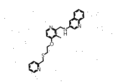 Cc1c(OCCSCc2ccccn2)ccnc1CNc1cnc2ccccc2c1